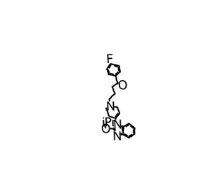 CC(C)Oc1nc2ccccc2n1C1=CCN(CCCC(=O)c2ccc(F)cc2)CC1